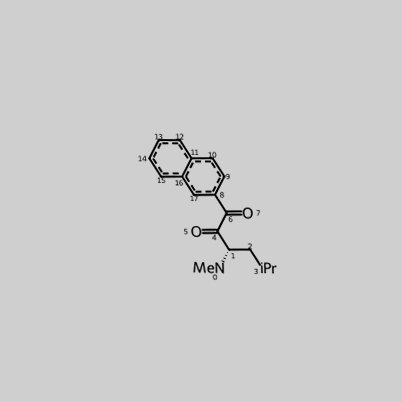 CN[C@@H](CC(C)C)C(=O)C(=O)c1ccc2ccccc2c1